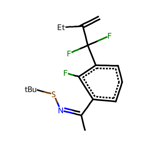 C=C(CC)C(F)(F)c1cccc(/C(C)=N\SC(C)(C)C)c1F